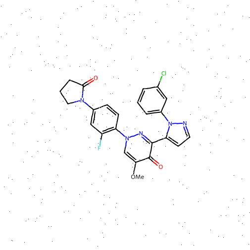 COc1cn(-c2ccc(N3CCCC3=O)cc2F)nc(-c2ccnn2-c2cccc(Cl)c2)c1=O